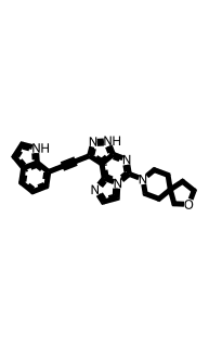 C(#Cc1n[nH]c2nc(N3CCC4(CCOC4)CC3)n3ccnc3c12)c1cccc2cc[nH]c12